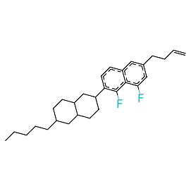 C=CCCc1cc(F)c2c(F)c(C3CCC4CC(CCCCC)CCC4C3)ccc2c1